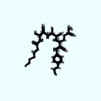 COCCOCC(=O)N[C@@H](C)C(=O)N[C@@H](C)C(=O)N[C@@H](CCC(N)=O)C(=O)Nc1ccc(COC)cc1